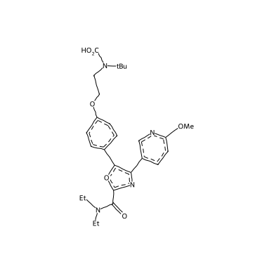 CCN(CC)C(=O)c1nc(-c2ccc(OC)nc2)c(-c2ccc(OCCN(C(=O)O)C(C)(C)C)cc2)o1